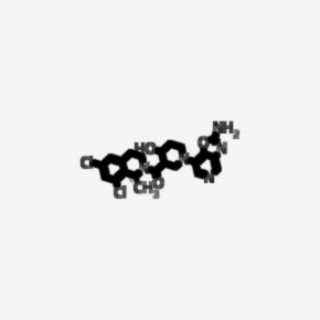 C[C@H]1c2c(Cl)cc(Cl)cc2CCN1C(=O)C1CN(c2cncc3nc(N)oc23)CCC1O